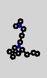 c1ccc(C2(c3ccccc3)c3ccccc3-c3c(N(c4ccc(-c5ccc(-c6cccc(-n7c8ccccc8c8ccccc87)c6)cc5)cc4)c4ccc(-c5cccc(-c6ccc7ccccc7c6)c5)cc4)cccc32)cc1